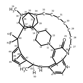 C[C@@H]1Nc2ncnc3c2cc(N2CCN(C4CCN(C)CC4)CC2)c(=O)n3CCCCCCCN2CCC(CC2)C(F)(F)c2cccc1c2F